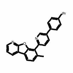 Cc1ccc2c(oc3ncccc32)c1-c1ccc(-c2ccc(C(C)C)cc2)cn1